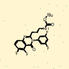 CC(C)(C)OC(=O)NCCCc1nc2ccc(F)c(F)c2c(=O)n1-c1cc(F)cc(F)c1